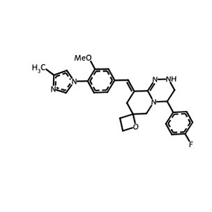 COc1cc(/C=C2\CC3(CCO3)CN3C2=NNCC3c2ccc(F)cc2)ccc1-n1cnc(C)c1